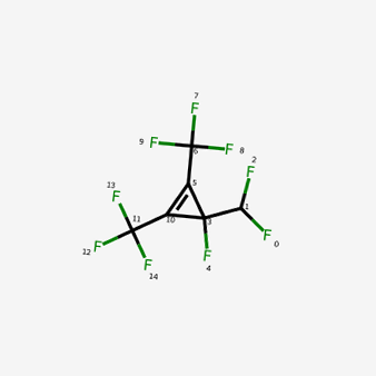 FC(F)C1(F)C(C(F)(F)F)=C1C(F)(F)F